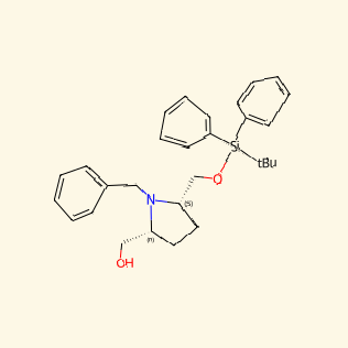 CC(C)(C)[Si](OC[C@@H]1CC[C@H](CO)N1Cc1ccccc1)(c1ccccc1)c1ccccc1